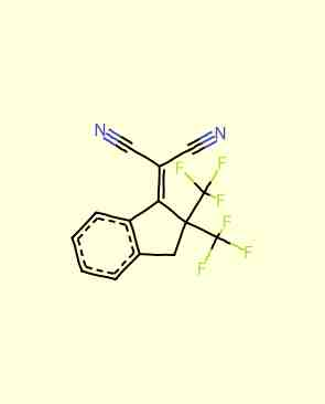 N#CC(C#N)=C1c2ccccc2CC1(C(F)(F)F)C(F)(F)F